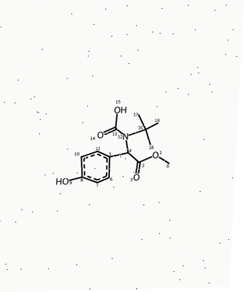 COC(=O)C(c1ccc(O)cc1)N(C(=O)O)C(C)(C)C